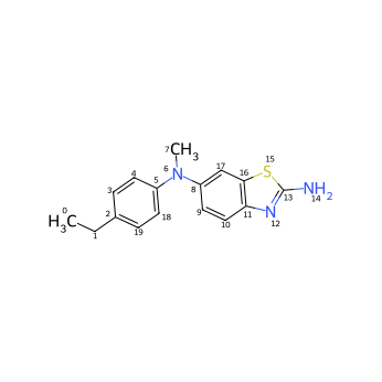 CCc1ccc(N(C)c2ccc3nc(N)sc3c2)cc1